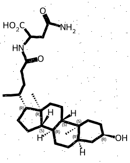 CC(CCC(=O)NC(CC(N)=O)C(=O)O)[C@H]1CC[C@H]2[C@@H]3CC[C@@H]4C[C@H](O)CC[C@]4(C)[C@H]3CC[C@]12C